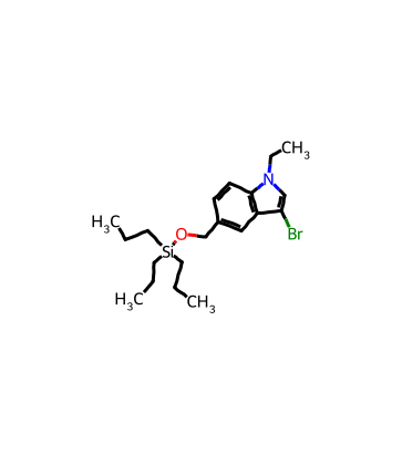 CCC[Si](CCC)(CCC)OCc1ccc2c(c1)c(Br)cn2CC